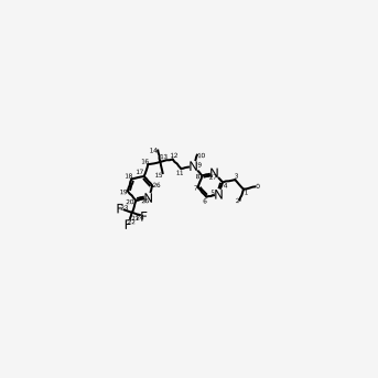 CC(C)Cc1nccc(N(C)CCC(C)(C)Cc2ccc(C(F)(F)F)nc2)n1